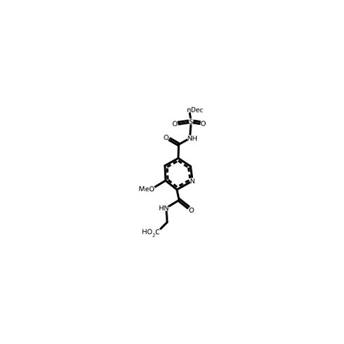 CCCCCCCCCCS(=O)(=O)NC(=O)c1cnc(C(=O)NCC(=O)O)c(OC)c1